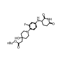 CCCCOC(=O)CC1(O)CCN(c2ccc(NC3CCC(=O)NC3=O)cc2F)CC1